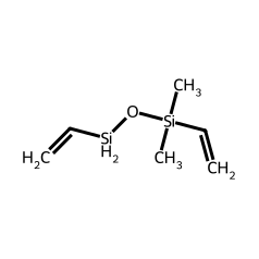 C=C[SiH2]O[Si](C)(C)C=C